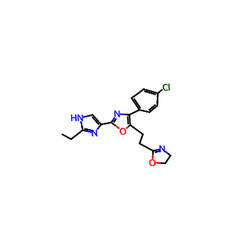 CCc1nc(-c2nc(-c3ccc(Cl)cc3)c(CCC3=NCCO3)o2)c[nH]1